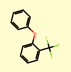 FC(F)(F)c1ccccc1Oc1c[c]ccc1